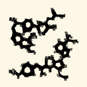 CN(Cc1cnc2nc(N)nc(N)c2n1)c1ccc(C(=O)N[C@@H](CCC(=O)O)C(=O)O)cc1.COc1ccc(C[C@H](N)C(=O)N[C@H]2[C@@H](O)[C@H](n3cnc4c(N(C)C)ncnc43)O[C@@H]2CO)cc1